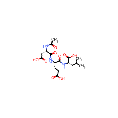 CC(=O)N[C@@H](CC(=O)O)C(=O)N[C@@H](CCC(=O)O)C(=O)N[C@@H](CC(C)C)C(=O)O